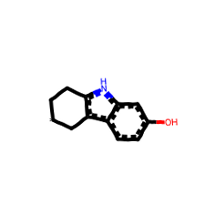 Oc1ccc2c3c([nH]c2c1)CC[C]C3